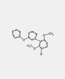 COc1ccc([O])c(OC)c1-c1cccc(Oc2ccccc2)c1